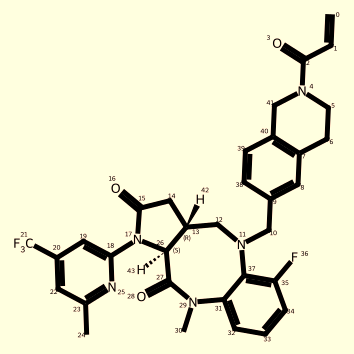 C=CC(=O)N1CCc2cc(CN3C[C@H]4CC(=O)N(c5cc(C(F)(F)F)cc(C)n5)[C@@H]4C(=O)N(C)c4cccc(F)c43)ccc2C1